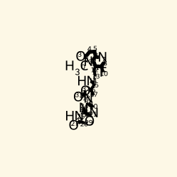 Cn1c(=O)ccc2ncc(F)c(CCNCC3CN(c4cnc5c(n4)NC(=O)CO5)C(=O)O3)c21